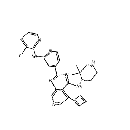 CC1(C)CNCC[C@@H]1Nc1nc(-c2ccnc(Nc3ncccc3F)c2)nc2cncc(C3=CC=C3)c12